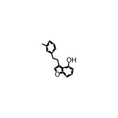 Cc1cccc(CCc2coc3cccc(O)c23)c1